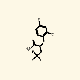 NC(=O)C(CC(F)(F)F)Oc1ccc(F)cc1Cl